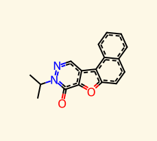 CC(C)n1ncc2c(oc3ccc4ccccc4c32)c1=O